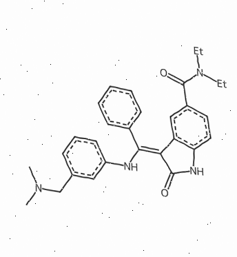 CCN(CC)C(=O)c1ccc2c(c1)/C(=C(/Nc1cccc(CN(C)C)c1)c1ccccc1)C(=O)N2